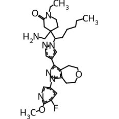 CCCCCC(n1cc(-c2nn(-c3cnc(OC)c(F)c3)c3c2CCOCC3)cn1)C1(CN)CCN(CC)C(=O)C1